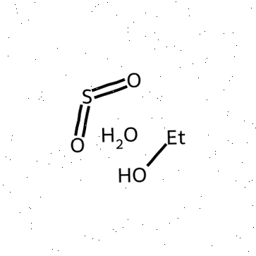 CCO.O.O=S=O